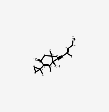 CC(C#CC1(O)C(C)=C(C2(C)CC2)C(=O)CC1(C)C)=CCO